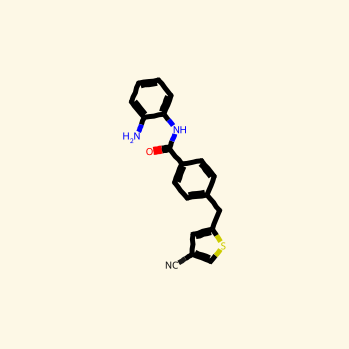 N#Cc1csc(Cc2ccc(C(=O)Nc3ccccc3N)cc2)c1